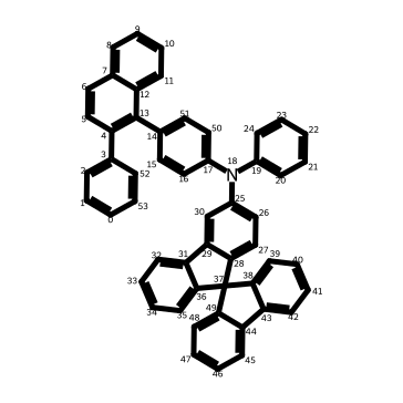 c1ccc(-c2ccc3ccccc3c2-c2ccc(N(c3ccccc3)c3ccc4c(c3)-c3ccccc3C43c4ccccc4-c4ccccc43)cc2)cc1